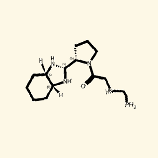 O=C(CNCP)N1CCC[C@H]1[C@H]1N[C@H]2CCCC[C@H]2N1